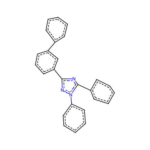 c1ccc(-c2cccc(-c3nc(-c4ccccc4)n(-c4ccccc4)n3)c2)cc1